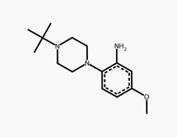 COc1ccc(N2CCN(C(C)(C)C)CC2)c(N)c1